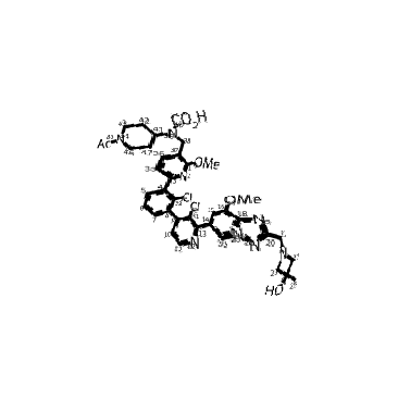 COc1nc(-c2cccc(-c3ccnc(-c4cc(OC)c5nc(CN6CC(C)(O)C6)nn5c4)c3Cl)c2Cl)ccc1CN(C(=O)O)C1CCN(C(C)=O)CC1